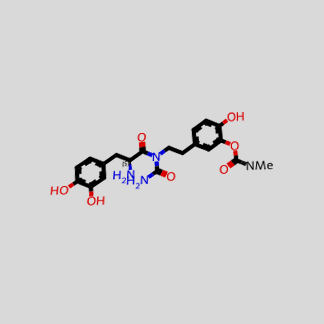 CNC(=O)Oc1cc(CCN(C(N)=O)C(=O)[C@@H](N)Cc2ccc(O)c(O)c2)ccc1O